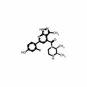 Cc1n[nH]c2nc(-c3ccc(O)cc3F)cc(C(=O)N3CCN[C@H](C)[C@@H]3C)c12